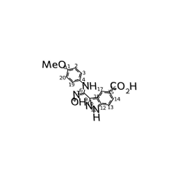 COc1ccc(N/C(=N/O)c2n[nH]c3ccc(C(=O)O)cc23)cc1